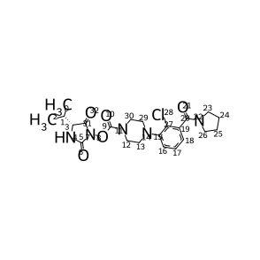 CC(C)[C@H]1NC(=O)N(OC(=O)N2CCN(c3cccc(C(=O)N4CCCC4)c3Cl)CC2)C1=O